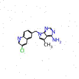 Cc1cn(Cc2ccc3ncc(Cl)cc3c2)c2ncnc(N)c12